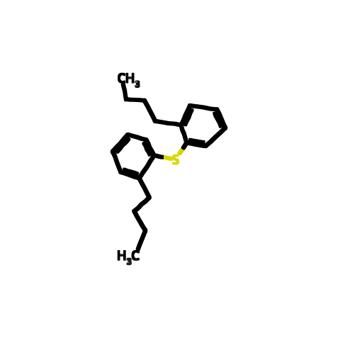 CCCCc1ccccc1Sc1ccccc1CCCC